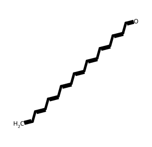 C=C/C=C/C=C/C=C/C=C/C=C/C=C/C=C/C=O